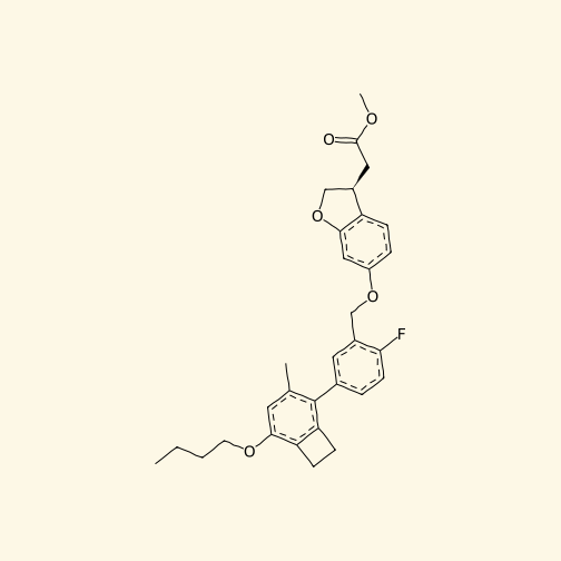 CCCCOc1cc(C)c(-c2ccc(F)c(COc3ccc4c(c3)OC[C@H]4CC(=O)OC)c2)c2c1CC2